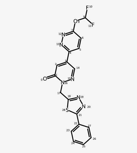 O=c1cc(-c2ccc(OC(F)F)nn2)cnn1Cc1nnc(-c2ccccc2)s1